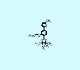 COCOc1cc(-c2ccc(C)s2)ccc1B1OC(C)(C)C(C)(C)O1